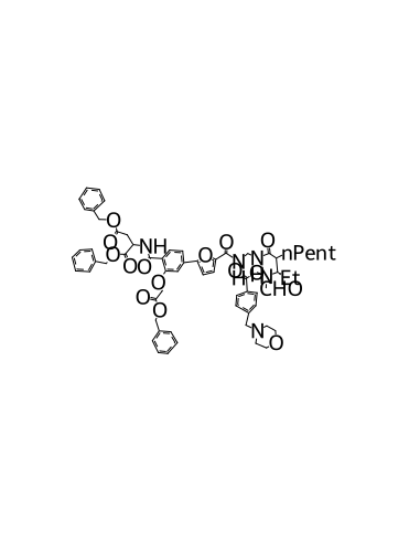 CCCCCC(C(=O)NCNC(=O)c1ccc(-c2ccc(C(=O)NC(CC(=O)OCc3ccccc3)C(=O)OCc3ccccc3)c(OCC(=O)OCc3ccccc3)c2)o1)[C@@H](CC)N(C=O)OC(=O)c1ccc(CN2CCOCC2)cc1